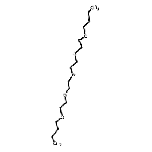 CCCCOCCOCC[N]CCOCCOCCCC